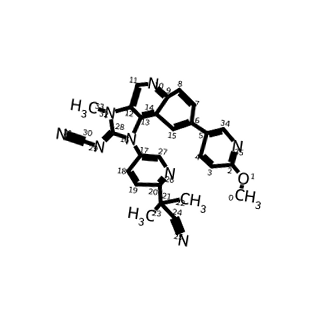 COc1ccc(-c2ccc3ncc4c(c3c2)n(-c2ccc(C(C)(C)C#N)nc2)c(=NC#N)n4C)cn1